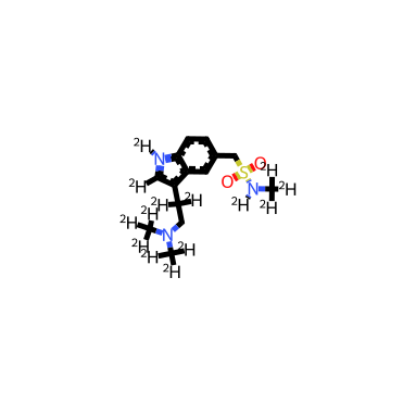 [2H]c1c(C([2H])([2H])CN(C([2H])([2H])[2H])C([2H])([2H])[2H])c2cc(CS(=O)(=O)N([2H])C([2H])([2H])[2H])ccc2n1[2H]